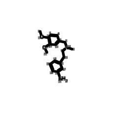 COc1ccc(CN(C)CCc2cccc(N)c2)cc1OC